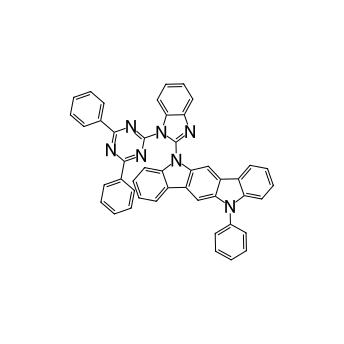 c1ccc(-c2nc(-c3ccccc3)nc(-n3c(-n4c5ccccc5c5cc6c(cc54)c4ccccc4n6-c4ccccc4)nc4ccccc43)n2)cc1